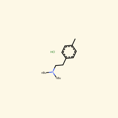 CCCCN(CCCC)CCc1ccc(C)cc1.Cl